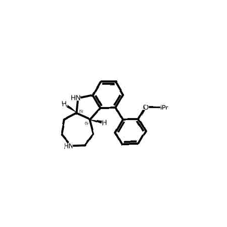 CC(C)Oc1ccccc1-c1cccc2c1[C@@H]1CCNCC[C@@H]1N2